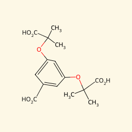 CC(C)(Oc1cc(OC(C)(C)C(=O)O)cc(C(=O)O)c1)C(=O)O